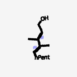 CCCCC/C=C(C)/C(C)=C/CO